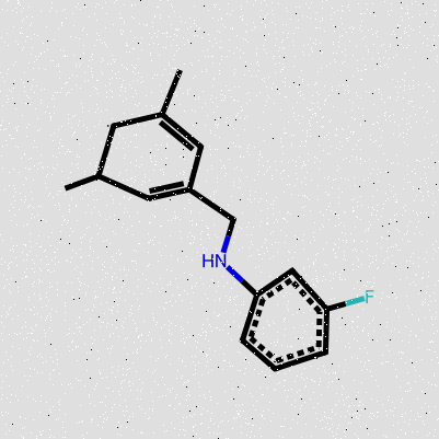 CC1=CC(CNc2cccc(F)c2)=CC(C)[CH]1